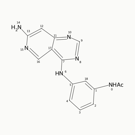 CC(=O)Nc1cccc(Nc2ncnc3cc(N)ncc23)c1